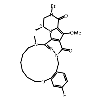 CCN1C[C@H](C)n2c(c(OC)c3c(=O)n4nc(c32)N(C)CCCCCCOc2cc(F)ccc2C4)C1=O